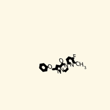 Cc1nc(N2CCn3nc(COc4ccccc4)cc3C2=O)ccc1F